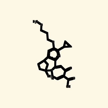 COCCCOc1cc2c(nc1C1CC1)C1=CC(=O)C(C(=O)O)=CNN1C1(C)CCC2C1